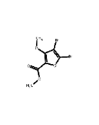 COC(=O)c1oc(Br)c(Br)c1OC